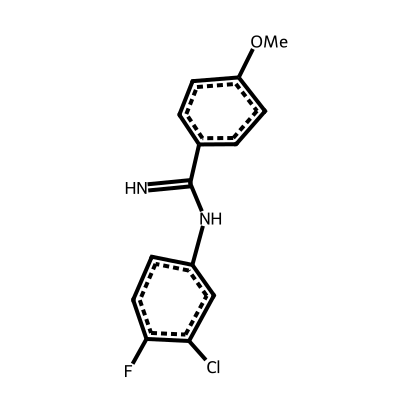 COc1ccc(C(=N)Nc2ccc(F)c(Cl)c2)cc1